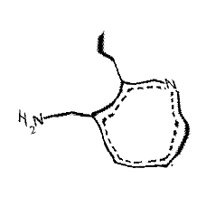 Cc1nc[c]cc1N